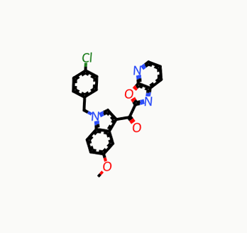 COc1ccc2c(c1)c(C(=O)c1nc3cccnc3o1)cn2Cc1ccc(Cl)cc1